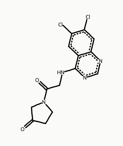 O=C1CCN(C(=O)CNc2ncnc3cc(Cl)c(Cl)cc23)C1